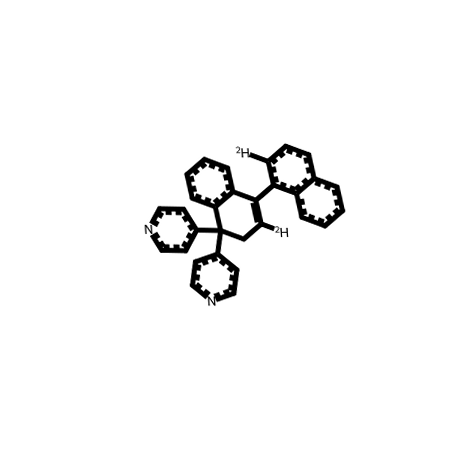 [2H]C1=C(c2c([2H])ccc3ccccc23)c2ccccc2C(c2ccncc2)(c2ccncc2)C1